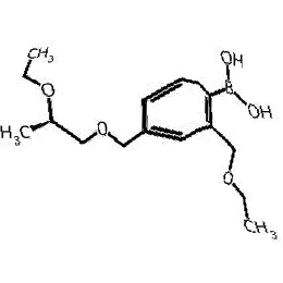 CCOCc1cc(COC[C@@H](C)OCC)ccc1B(O)O